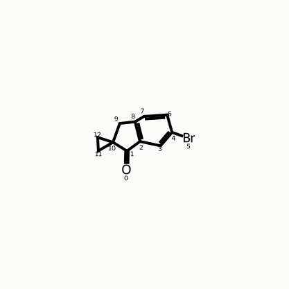 O=C1c2cc(Br)ccc2CC12CC2